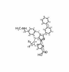 CNSc1ccc(Cc2c(-c3cccc(-c4ccccc4)c3)nn(-c3nc(C(=O)O)cs3)c2CC2CC2(F)F)cc1